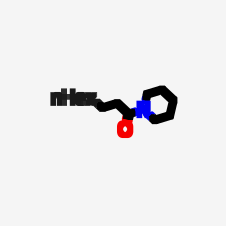 CCCCCCCCC(=O)N1CCCCC1